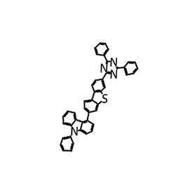 c1ccc(-c2nc(-c3ccccc3)nc(-c3ccc4c(c3)sc3cc(-c5cccc6c5c5ccccc5n6-c5ccccc5)ccc34)n2)cc1